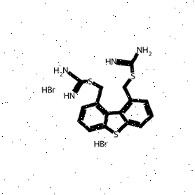 Br.Br.N=C(N)SCc1cccc2sc3cccc(CSC(=N)N)c3c12